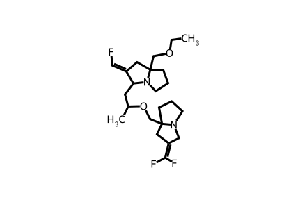 CCOCC12CCCN1C(CC(C)OCC13CCCN1CC(=C(F)F)C3)/C(=C/F)C2